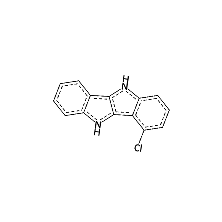 Clc1cccc2[nH]c3c4ccccc4[nH]c3c12